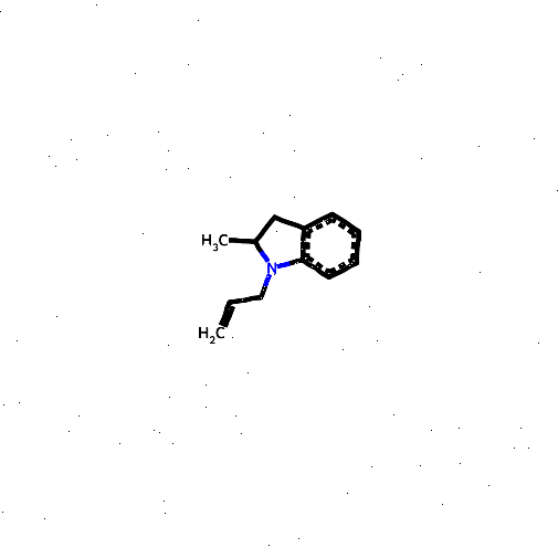 C=CCN1c2ccccc2CC1C